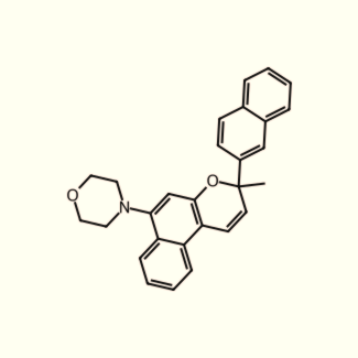 CC1(c2ccc3ccccc3c2)C=Cc2c(cc(N3CCOCC3)c3ccccc23)O1